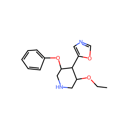 CCOC1CNCC(Oc2ccccc2)C1c1cnco1